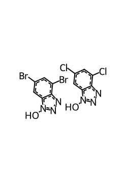 On1nnc2c(Br)cc(Br)cc21.On1nnc2c(Cl)cc(Cl)cc21